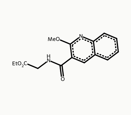 CCOC(=O)CNC(=O)c1cc2ccccc2nc1OC